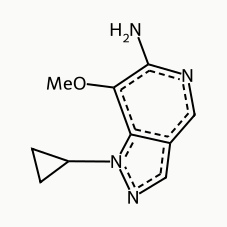 COc1c(N)ncc2cnn(C3CC3)c12